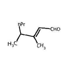 CCCC(C)C(C)=CC=O